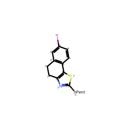 CCCCCc1nc2c(s1)-c1ccc(I)cc1CC2